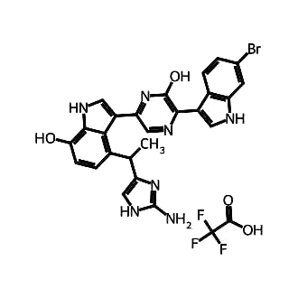 CC(c1c[nH]c(N)n1)c1ccc(O)c2[nH]cc(-c3cnc(-c4c[nH]c5cc(Br)ccc45)c(O)n3)c12.O=C(O)C(F)(F)F